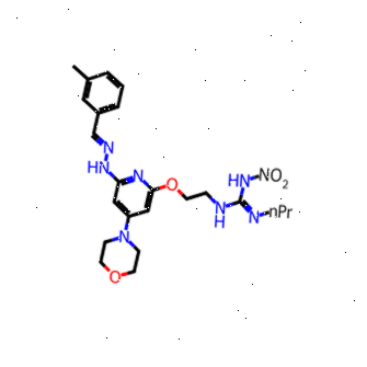 CCCN=C(NCCOc1cc(N2CCOCC2)cc(NN=Cc2cccc(C)c2)n1)N[N+](=O)[O-]